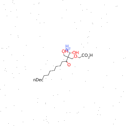 CCCCCCCCCCCCCCCCCC(=O)C(CO)(COCC(=O)O)C(N)O